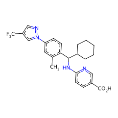 Cc1cc(-n2cc(C(F)(F)F)cn2)ccc1C(Nc1ccc(C(=O)O)cn1)C1CCCCC1